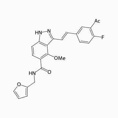 COc1c(C(=O)NCc2ccco2)ccc2[nH]nc(/C=C/c3ccc(F)c(C(C)=O)c3)c12